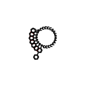 c1ccc(-c2ccc(P3CCCCCCCCCCCCCCCCPP(c4ccccc4)P(c4ccccc4)P(c4ccccc4)P(c4ccccc4)P(c4ccccc4)P3c3ccccc3)cc2)cc1